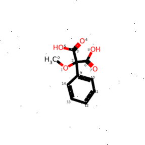 COC(C(=O)O)(C(=O)O)c1ccccc1